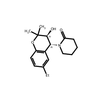 CCc1ccc2c(c1)[C@@H](N1CCCCC1=O)[C@H](O)C(C)(C)O2